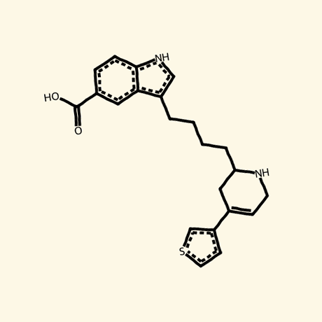 O=C(O)c1ccc2[nH]cc(CCCCC3CC(c4ccsc4)=CCN3)c2c1